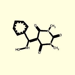 CN1C(=O)C(=C(NO)c2ccccc2)C(=O)N(C)C1=O